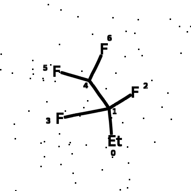 CCC(F)(F)C(F)F